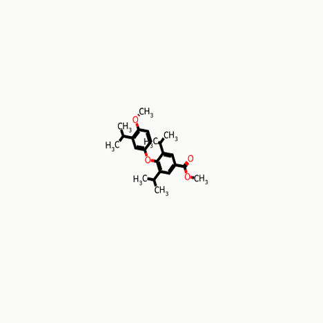 COC(=O)c1cc(C(C)C)c(Oc2ccc(OC)c(C(C)C)c2)c(C(C)C)c1